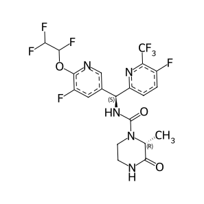 C[C@@H]1C(=O)NCCN1C(=O)N[C@@H](c1cnc(OC(F)C(F)F)c(F)c1)c1ccc(F)c(C(F)(F)F)n1